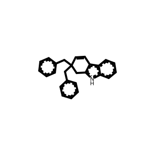 C1=CC(Cc2ccccc2)(Cc2ccccc2)Cc2[nH]c3ccccc3c21